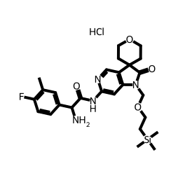 Cc1cc(C(N)C(=O)Nc2cc3c(cn2)C2(CCOCC2)C(=O)N3COCC[Si](C)(C)C)ccc1F.Cl